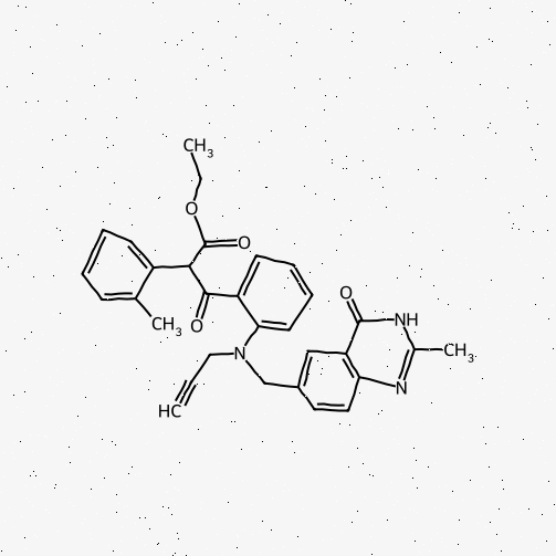 C#CCN(Cc1ccc2nc(C)[nH]c(=O)c2c1)c1ccccc1C(=O)C(C(=O)OCC)c1ccccc1C